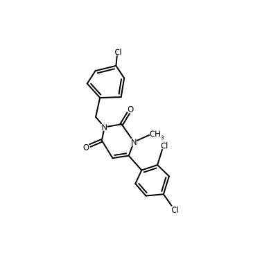 Cn1c(-c2ccc(Cl)cc2Cl)cc(=O)n(Cc2ccc(Cl)cc2)c1=O